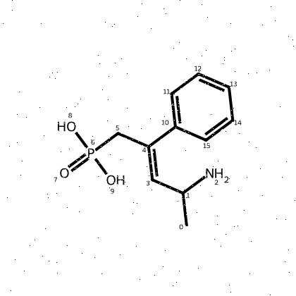 CC(N)/C=C(/CP(=O)(O)O)c1ccccc1